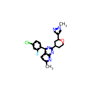 Cc1ccc2c(-c3ccc(Cl)cc3F)nc(C3CCOC(c4cnn(C)c4)C3)nc2n1